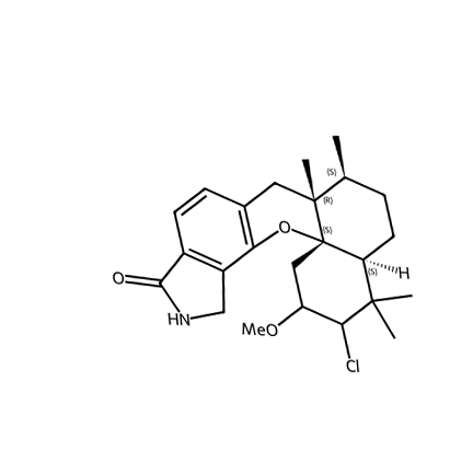 COC1C[C@@]23Oc4c(ccc5c4CNC5=O)C[C@]2(C)[C@@H](C)CC[C@H]3C(C)(C)C1Cl